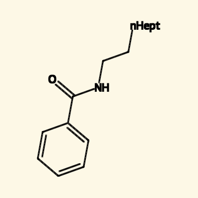 CCCCCCCCCNC(=O)c1ccccc1